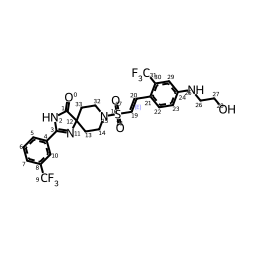 O=C1NC(c2cccc(C(F)(F)F)c2)=NC12CCN(S(=O)(=O)/C=C/c1ccc(NCCO)cc1C(F)(F)F)CC2